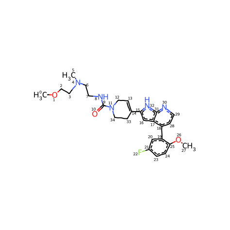 COCCN(C)CCNC(=O)N1CC=C(c2cc3c(-c4cc(F)ccc4OC)ccnc3[nH]2)CC1